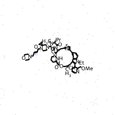 CCn1c(-c2cccnc2COC)c2c3cc(ccc31)-c1csc(n1)C[C@H](NC(=O)C(C(C)C)N(C)C(=O)N1CCN(C(=O)/C=C/CN3CCOCC3)C3(CC3)C1)C(=O)N1CCC[C@H](N1)C(=O)OCC(C)(C)C2